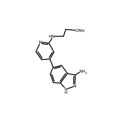 COCCNc1cc(-c2ccc3[nH]nc(N)c3c2)ccn1